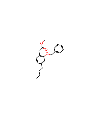 CCCCc1ccc(CC(=O)OC)c(OCc2ccccc2)c1